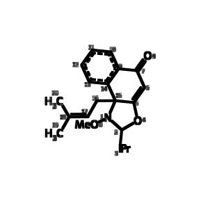 CON1C(C(C)C)OC2=CC(=O)c3ccccc3C21CC=C(C)C